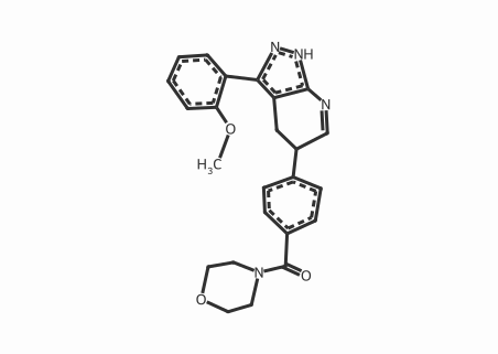 COc1ccccc1-c1n[nH]c2c1CC(c1ccc(C(=O)N3CCOCC3)cc1)C=N2